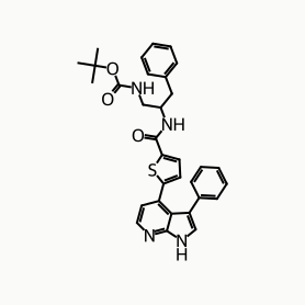 CC(C)(C)OC(=O)NCC(Cc1ccccc1)NC(=O)c1ccc(-c2ccnc3[nH]cc(-c4ccccc4)c23)s1